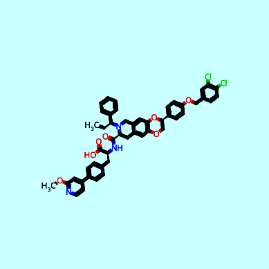 CC[C@@H](c1ccccc1)N1Cc2cc3c(cc2C[C@H]1C(=O)N[C@@H](Cc1ccc(-c2ccnc(OC)c2)cc1)C(=O)O)OC[C@H](c1ccc(OCc2ccc(Cl)c(Cl)c2)cc1)O3